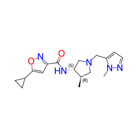 C[C@@H]1CN(Cc2ccnn2C)C[C@H]1NC(=O)c1cc(C2CC2)on1